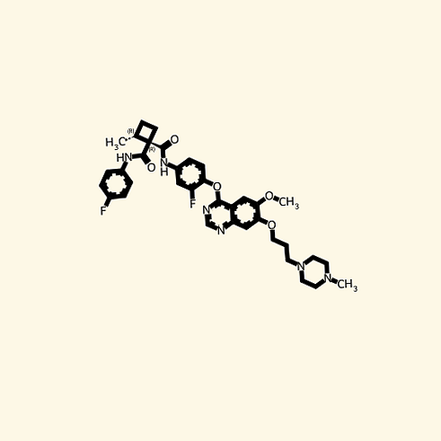 COc1cc2c(Oc3ccc(NC(=O)[C@]4(C(=O)Nc5ccc(F)cc5)CC[C@H]4C)cc3F)ncnc2cc1OCCCN1CCN(C)CC1